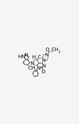 C=CC(=O)N1CCN(c2nc(=O)n(-c3ccccc3)c3c2CCN(c2c(C)ccc4[nH]ncc24)C3)C(C)C1